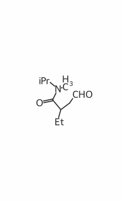 CCC(CC=O)C(=O)N(C)C(C)C